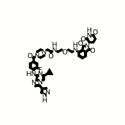 O=C(CN1CCN(C(=O)c2ccc(Nc3nc(C4CC4)cn4c(-c5cn[nH]c5)cnc34)c(F)c2)CC1)NCCOCCNc1cccc2c1C(=O)N(C1CCC(=O)NC1=O)C2=O